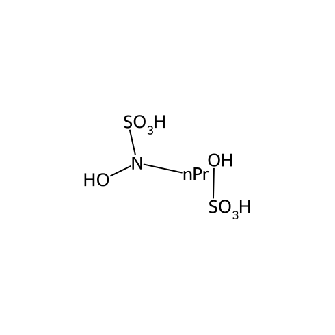 CCCN(O)S(=O)(=O)O.O=S(=O)(O)O